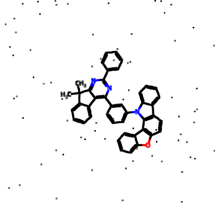 CC1(C)c2ccccc2-c2c(-c3cccc(-n4c5ccccc5c5ccc6oc7ccccc7c6c54)c3)nc(-c3ccccc3)nc21